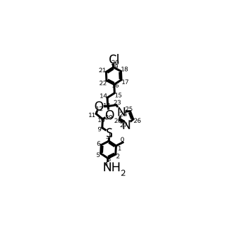 Cc1cc(N)ccc1SCC1COC(CCc2ccc(Cl)cc2)(Cn2ccnc2)O1